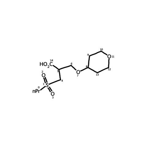 CCCS(=O)(=O)CC(COC1CCOCC1)C(=O)O